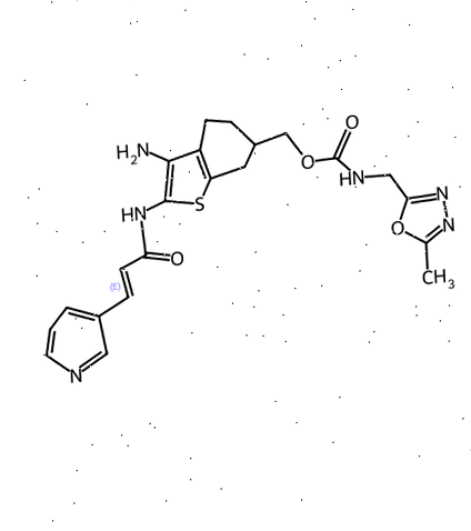 Cc1nnc(CNC(=O)OCC2CCc3c(sc(NC(=O)/C=C/c4cccnc4)c3N)C2)o1